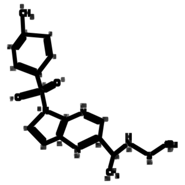 Cc1ccc(S(=O)(=O)n2ccc3nc(C(NSC(C)(C)C)C(F)(F)F)cnc32)cc1